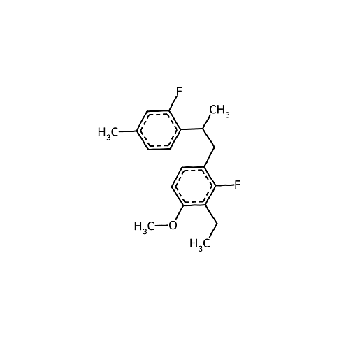 CCc1c(OC)ccc(CC(C)c2ccc(C)cc2F)c1F